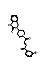 O=C(/C=C/C(=O)N1CCC(N2Cc3ccccc3NC2=O)CC1)c1cccc(Br)c1